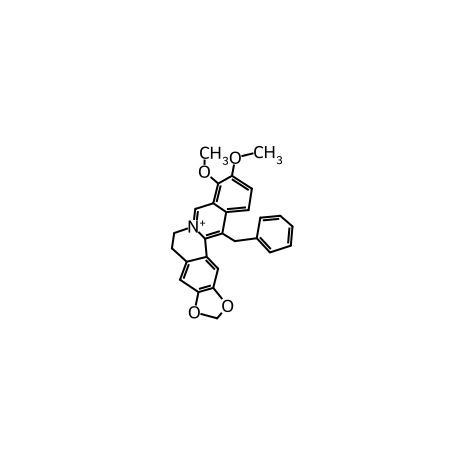 COc1ccc2c(Cc3ccccc3)c3[n+](cc2c1OC)CCc1cc2c(cc1-3)OCO2